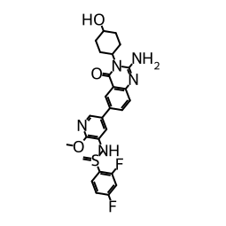 C=S(Nc1cc(-c2ccc3nc(N)n(C4CCC(O)CC4)c(=O)c3c2)cnc1OC)c1ccc(F)cc1F